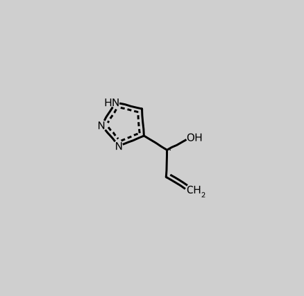 C=C[C](O)c1c[nH]nn1